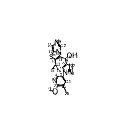 COc1ncc(-n2cc(C(O)c3c(C4CC4)sc4cncn34)nn2)cc1C